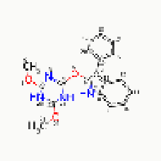 COC1N=C(Oc2[nH]c3ccccc3c2-c2ccccc2)NC(OC)N1